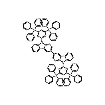 c1ccc(S(c2ccccc2)(c2ccccc2)c2cc(S(c3ccccc3)(c3ccccc3)c3ccccc3)nc(-n3c4ccccc4c4cc(-c5ccc6c(c5)c5ccccc5n6-c5nc(S(c6ccccc6)(c6ccccc6)c6ccccc6)cc(S(c6ccccc6)(c6ccccc6)c6ccccc6)n5)ccc43)n2)cc1